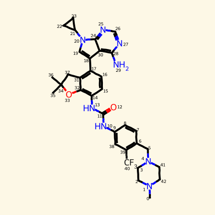 CN1CCN(Cc2ccc(NC(=O)Nc3ccc(-c4cn(C5CC5)c5ncnc(N)c45)c4c3OC(C)(C)C4)cc2C(F)(F)F)CC1